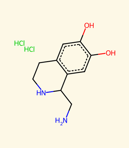 Cl.Cl.NCC1NCCc2cc(O)c(O)cc21